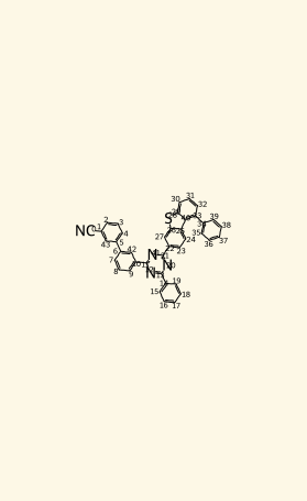 N#Cc1cccc(-c2cccc(-c3nc(-c4ccccc4)nc(-c4ccc5c(c4)sc4cccc(-c6ccccc6)c45)n3)c2)c1